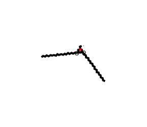 [CH2]Cc1cc(OCCCCCCCCCCCCCCCCCCCC)cc(OCCCCCCCCCCCCCCCCCCCC)c1